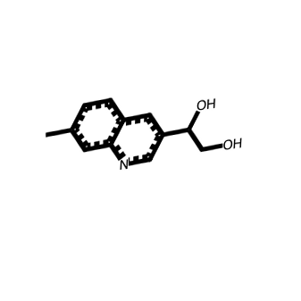 Cc1ccc2cc(C(O)CO)cnc2c1